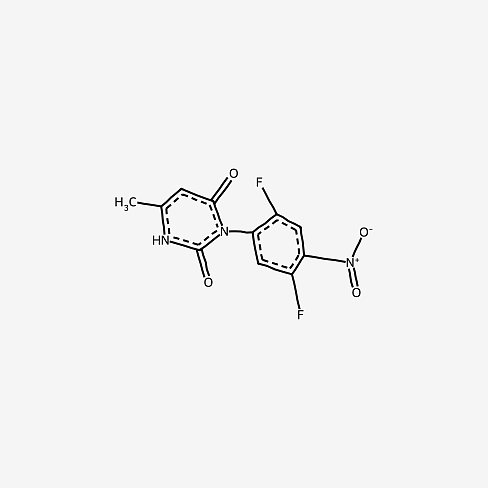 Cc1cc(=O)n(-c2cc(F)c([N+](=O)[O-])cc2F)c(=O)[nH]1